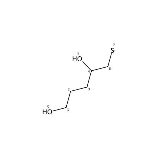 OCCCC(O)C[S]